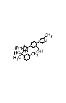 Cc1cn(-c2ccc(-c3nc(C(C)(O)c4cccc(C(F)(F)F)c4)n(C(C)C)n3)cc2CO)cn1